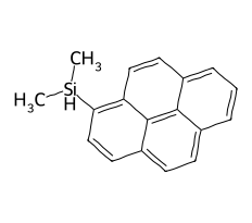 C[SiH](C)c1ccc2ccc3cccc4ccc1c2c34